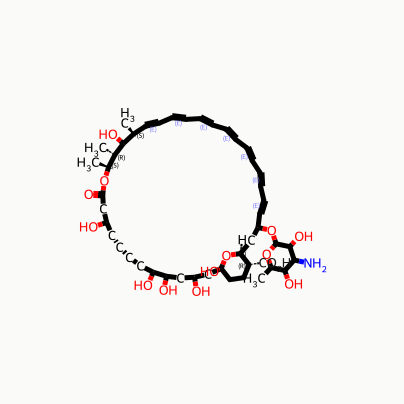 CC1OC(OC2/C=C/C=C/C=C/C=C/C=C/C=C/C=C/[C@H](C)C(O)[C@@H](C)[C@H](C)OC(=O)CC(O)CCCCC(O)C(O)CC(O)CC3(O)CC[C@@H](C(=O)O)[C@H](C2)O3)C(O)C(N)C1O